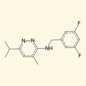 Cc1cc(C(C)C)nnc1NCc1cc(F)cc(F)c1